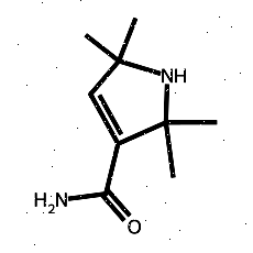 CC1(C)C=C(C(N)=O)C(C)(C)N1